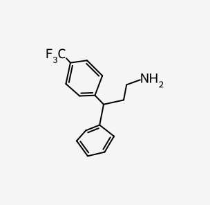 NCCC(c1ccccc1)c1ccc(C(F)(F)F)cc1